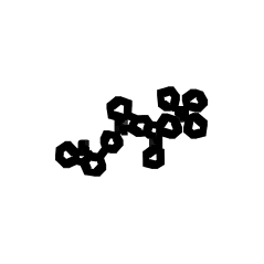 c1ccc(-n2c3ccc([Si](c4ccccc4)(c4ccccc4)c4ccccc4)cc3c3cc4c5ccccc5n(-c5ccc(-c6cccc7c6sc6ccccc67)cc5)c4cc32)cc1